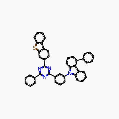 c1ccc(-c2nc(-c3cccc(-n4c5ccccc5c5c(-c6ccccc6)cccc54)c3)nc(-c3ccc4c(c3)sc3ccccc34)n2)cc1